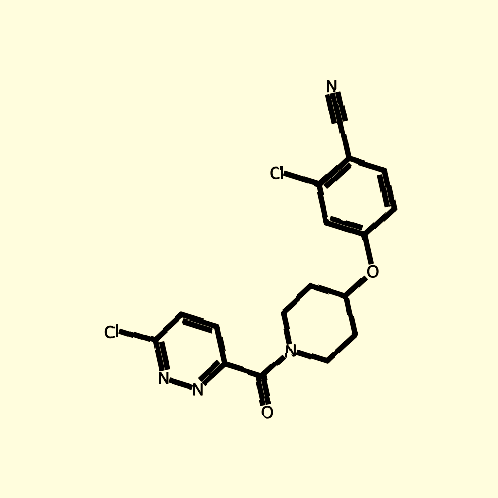 N#Cc1ccc(OC2CCN(C(=O)c3ccc(Cl)nn3)CC2)cc1Cl